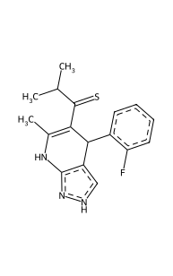 CC1=C(C(=S)C(C)C)C(c2ccccc2F)c2c[nH]nc2N1